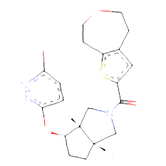 O=C(c1cc2c(s1)CCOCC2)N1C[C@@H]2CC[C@@H](Oc3ccc(Br)nn3)[C@@H]2C1